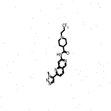 Cn1nncc1-c1ccc2cnc(NC(=O)C3CCN(CCC(F)(F)F)CC3)cc2n1